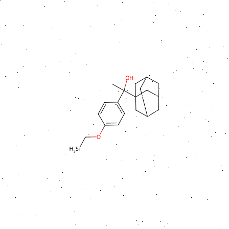 CC(O)(c1ccc(OC[SiH3])cc1)C12CC3CC(CC(C3)C1)C2